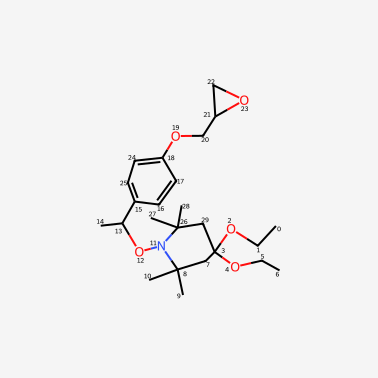 CCOC1(OCC)CC(C)(C)N(OC(C)c2ccc(OCC3CO3)cc2)C(C)(C)C1